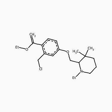 C=C(OCC)c1ccc(OCC2N(CC)CCCC2(C)C)cc1CCl